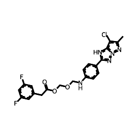 Cc1nn2nc(-c3ccc(NCOCOC(=O)Cc4cc(F)cc(F)c4)cc3)[nH]c2c1Cl